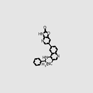 CC(Nc1c(C#N)cnc2ccc(-c3cnc4[nH]c(=O)oc4c3)cc12)c1ccccc1